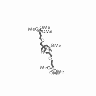 CO[Si](CCCOCC1C[N@]2CCC[Si@@](OC)(O1)OC(COCCC[Si](OC)(OC)OC)C2)(OC)OC